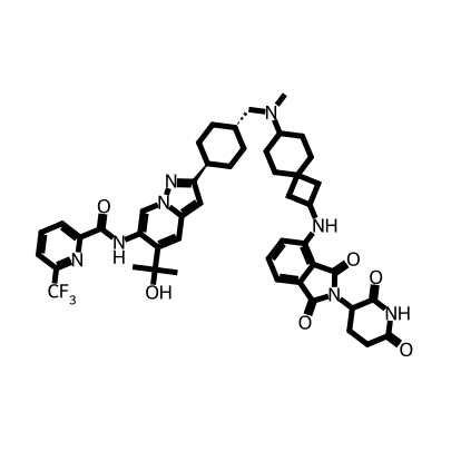 CN(C[C@H]1CC[C@H](c2cc3cc(C(C)(C)O)c(NC(=O)c4cccc(C(F)(F)F)n4)cn3n2)CC1)C1CCC2(CC1)CC(Nc1cccc3c1C(=O)N(C1CCC(=O)NC1=O)C3=O)C2